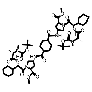 COC(=O)[C@@H]1C[C@H](NC(=O)C2CCC(C(=O)N[C@H]3C[C@@H](C(=O)OC)N(C(=O)[C@@H](NC(=O)[C@H](C)N(C)C(=O)OC(C)(C)C)C4CCCCC4)C3)CC2)CN1C(=O)[C@@H](NC(=O)[C@H](C)N(C)C(=O)OC(C)(C)C)C1CCCCC1